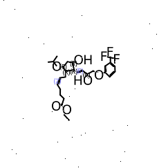 CCOC(=O)CCC/C=C\C[C@@H]1[C@@H](/C=C/[C@@H](O)COc2cccc(C(F)(F)F)c2)[C@H](O)C[C@@H]1OC(C)C